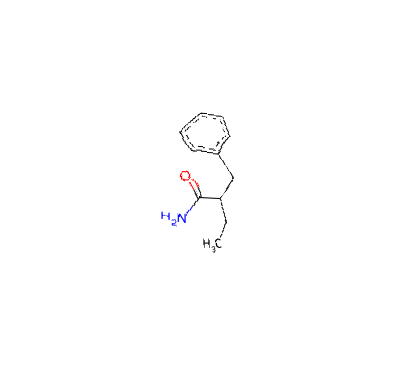 CCC(Cc1ccccc1)C(N)=O